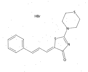 Br.O=C1N=C(N2CCSCC2)SC1=CC=Cc1ccccc1